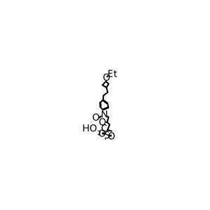 CCOC1CC(CCc2ccc(N3CC(CC(C)(C(=O)O)S(C)(=O)=O)OC3=O)cc2)C1